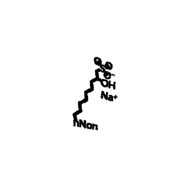 CCCCCCCCCCCCCCCCC(O)CS(=O)(=O)[O-].[Na+]